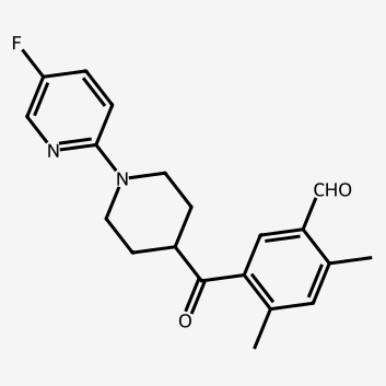 Cc1cc(C)c(C(=O)C2CCN(c3ccc(F)cn3)CC2)cc1C=O